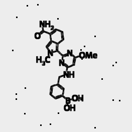 COc1cc(NCc2cccc(B(O)O)c2)nc(-c2c3cccc(C(N)=O)c3cn2C)n1